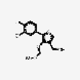 COCOc1c(CO)csc1-c1ccc(Cl)c(Cl)c1